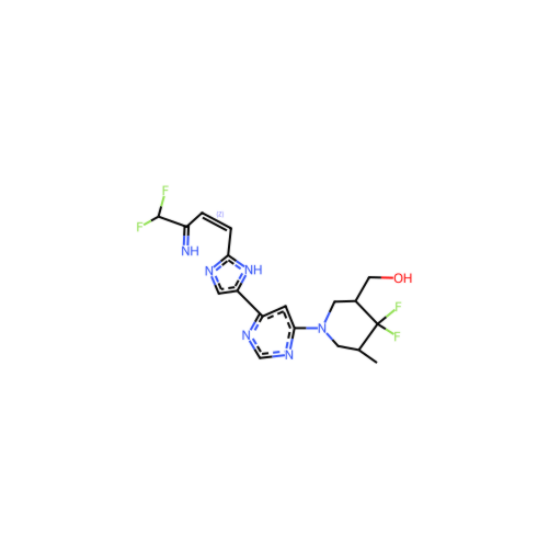 CC1CN(c2cc(-c3cnc(/C=C\C(=N)C(F)F)[nH]3)ncn2)CC(CO)C1(F)F